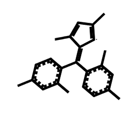 CC1=[C]C(=C(c2ccc(C)cc2C)c2ccc(C)cc2C)C(C)=C1